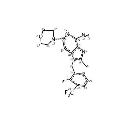 Cc1c(Cn2c(C)nc3c(N)nc(N4CCOCC4)cc32)cccc1C(F)(F)F